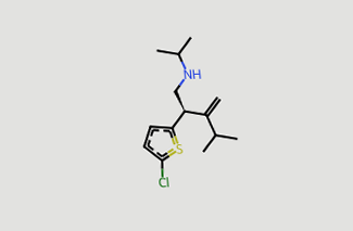 C=C(C(C)C)[C@H](CNC(C)C)c1ccc(Cl)s1